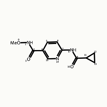 CONC(=O)c1ccc(NC(=O)C2CC2)nc1